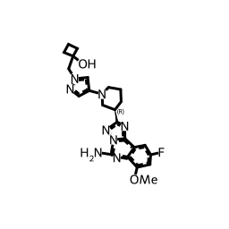 COc1cc(F)cc2c1nc(N)n1nc([C@@H]3CCCN(c4cnn(CC5(O)CCC5)c4)C3)nc21